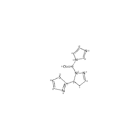 O=C(N1N=CCC1c1nccs1)n1ccnc1